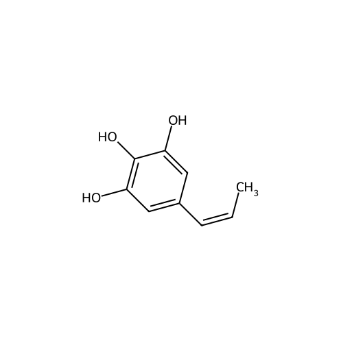 C/C=C\c1cc(O)c(O)c(O)c1